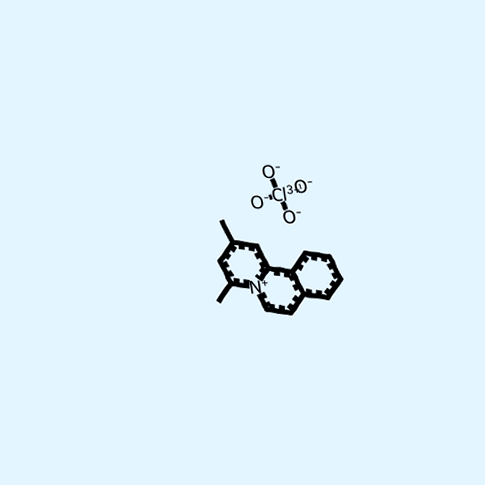 Cc1cc(C)[n+]2ccc3ccccc3c2c1.[O-][Cl+3]([O-])([O-])[O-]